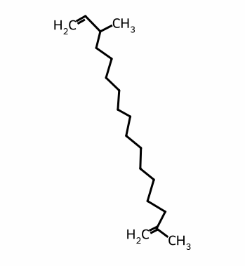 C=CC(C)CCCCCCCCCCCCC(=C)C